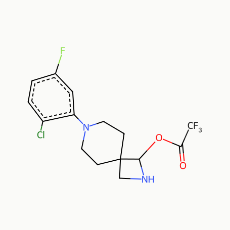 O=C(OC1NCC12CCN(c1cc(F)ccc1Cl)CC2)C(F)(F)F